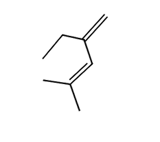 C=C(C=C(C)C)CC